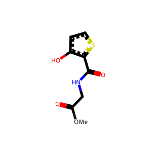 COC(=O)CNC(=O)c1sccc1O